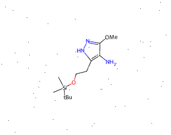 COc1n[nH]c(CCO[Si](C)(C)C(C)(C)C)c1N